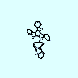 c1ccc2c(c1)oc1ccc(-n3c4ccccc4c4c5sc6ccccc6c5c5c6ccccc6oc5c43)cc12